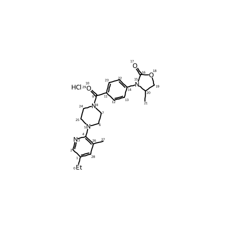 CCc1cnc(N2CCN(C(=O)c3ccc(N4C(=O)OCC4C)cc3)CC2)c(C)c1.Cl